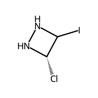 Cl[C@@H]1NNC1I